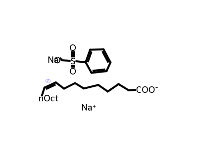 CCCCCCCC/C=C\CCCCCCCC(=O)[O-].O=S(=O)([O-])c1ccccc1.[Na+].[Na+]